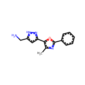 Cc1nc(-c2ccccc2)oc1-c1cc(CN)[nH]n1